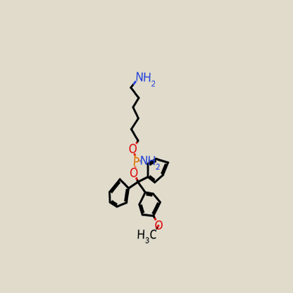 COc1ccc(C(OP(N)OCCCCCCN)(c2ccccc2)c2ccccc2)cc1